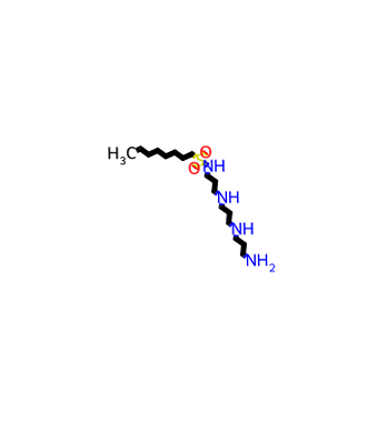 CCCCCCCCS(=O)(=O)NCCCNCCCNCCCN